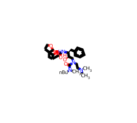 CCCCN(C)C(=O)N(CCN(C)C)C[C@@H](O)[C@H](Cc1ccccc1)NC(=O)OC1C2COC3OCC1C3C2